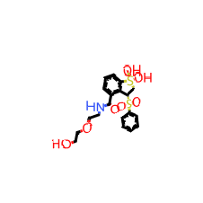 O=C(NCCOCCO)c1cccc2c1C(S(=O)(=O)c1ccccc1)CS2(O)O